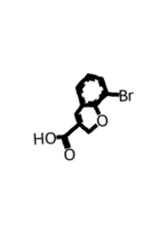 O=C(O)C1=Cc2cccc(Br)c2OC1